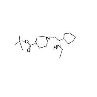 CCNC(CN1CCN(C(=O)OC(C)(C)C)CC1)C1CCCCC1